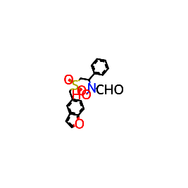 O=CN(O)C(CS(=O)(=O)Cc1ccc2occc2c1)c1ccccc1